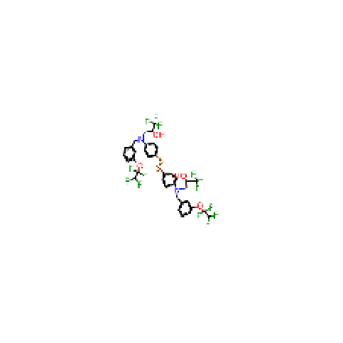 OC(CN(Cc1cccc(OC(F)(F)C(F)F)c1)c1ccc(SSc2ccc(N(Cc3cccc(OC(F)(F)C(F)F)c3)CC(O)C(F)(F)F)cc2)cc1)C(F)(F)F